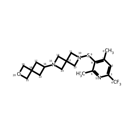 Cc1cc(C(F)(F)F)nc(C)c1SN1CC2(C1)CN(C1CC3(COC3)C1)C2